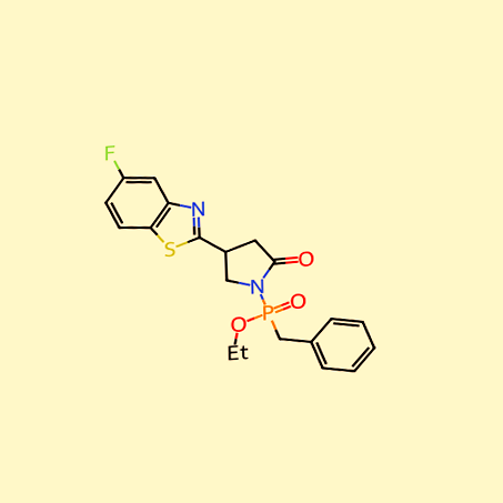 CCOP(=O)(Cc1ccccc1)N1CC(c2nc3cc(F)ccc3s2)CC1=O